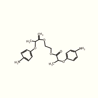 C=C(OCCOC(=O)C(C)Oc1ccc(N)cc1)C(C)Oc1ccc(N)cc1